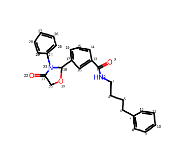 O=C(NCCCCc1ccccc1)c1cccc(C2OCC(=O)N2c2ccccc2)c1